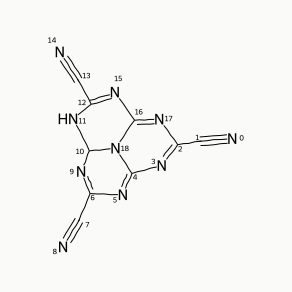 N#CC1=NC2=NC(C#N)=NC3NC(C#N)=NC(=N1)N23